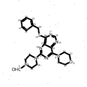 O=CN1CCN(c2nc(N3CCOCC3)c3ncnc(SCc4ccccc4)c3n2)CC1